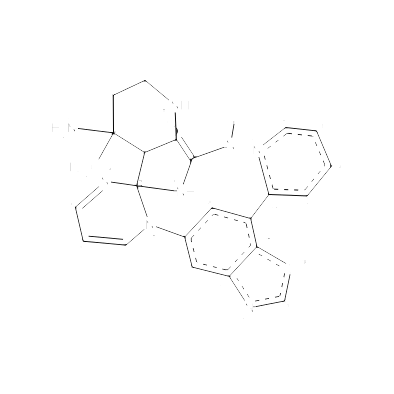 CCNC(=O)NC1(C2CNCCC2(N)C(=O)O)N=CC=CN1c1cc(-c2ccccn2)c2scnc2c1